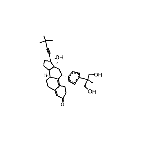 CC(C)(C)C#C[C@]1(O)CCC2[C@@H]3CCC4=CC(=O)CCC4=C3[C@@H](c3ccc(C(C)(CO)CO)cc3)C[C@@]21C